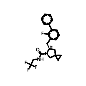 O=C(NCC(F)(F)F)N1CC2(CC2)C[C@@H]1Cc1cccc(-c2ccccc2)c1F